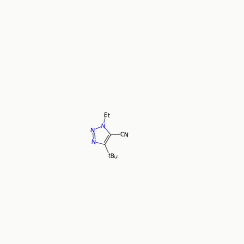 CCn1nnc(C(C)(C)C)c1C#N